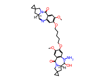 COc1cc2c(cc1OCCCCCOc1cc3c(cc1OC)C(=O)N1CC4(CC4)C[C@H]1C(O)N3N)N=C[C@@H]1CC3(CC3)CN1C2=O